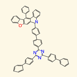 c1ccc(-c2ccc(-c3nc(-c4ccc(-c5ccccc5)cc4)nc(-c4ccc(-c5ccc(-c6nc7ccccc7c7c(-c8ccccc8)c8c(cc67)oc6ccccc68)cc5)cc4)n3)cc2)cc1